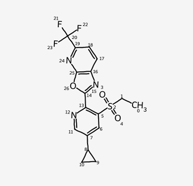 CCS(=O)(=O)c1cc(C2CC2)cnc1-c1nc2ccc(C(F)(F)F)nc2o1